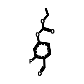 CCOC(=O)Oc1ccc(C=O)c(F)c1